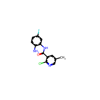 Cc1cnc(Cl)c(C(=O)Nc2cc(F)ccc2N)c1